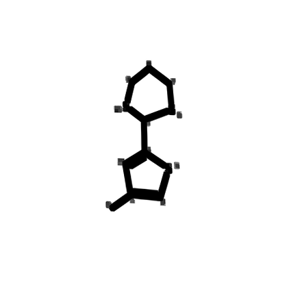 Cc1csc(C2SCCCS2)c1